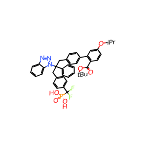 CC(C)Oc1ccc(C(=O)OC(C)(C)C)c(-c2ccc(CC(Cc3ccc(C(F)(F)P(=O)(O)O)cc3)(c3ccccc3)n3nnc4ccccc43)cc2)c1